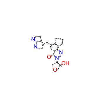 Cn1ccc2c(Cc3cc4c(=O)n([C@H]5CCOC[C@@H]5O)cnc4c4ccccc34)ccnc21